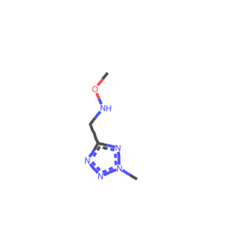 CONCc1nnn(C)n1